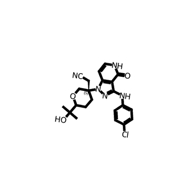 CC(C)(O)C1CC[C@@](CC#N)(n2nc(Nc3ccc(Cl)cc3)c3c(=O)[nH]ccc32)CO1